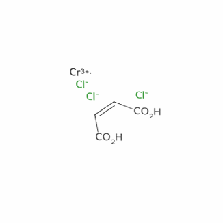 O=C(O)/C=C\C(=O)O.[Cl-].[Cl-].[Cl-].[Cr+3]